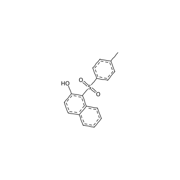 Cc1ccc(S(=O)(=O)c2c(O)ccc3ccccc23)cc1